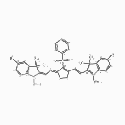 CCCCCN1/C(=C/C=C2\CCC(/C=C/C3=[N+](CCCCC)c4ccc(Br)cc4C3(C)C)=C2S(=O)(=O)c2ccccc2)C(C)(C)c2cc(Br)ccc21